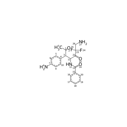 CC(=O)C(c1ccc(N)cc1)C(NC(=O)c1ccccc1)C(=O)C(F)(F)CN